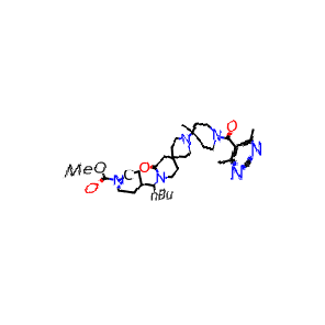 CCCCC(C1CCN(C(=O)OC)CC1)N1CCC2(CCN(C3(C)CCN(C(=O)c4c(C)ncnc4C)CC3)CC2)CC1=O